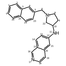 c1ccc2cc(CN3CCC(Nc4ccc5cnccc5c4)C3)ccc2c1